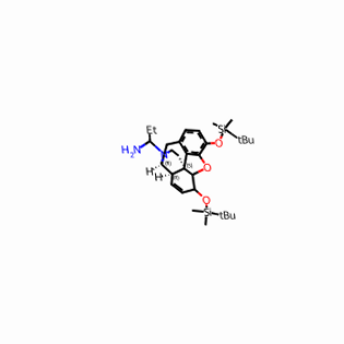 CCC(N)N1CC[C@]23c4c5ccc(O[Si](C)(C)C(C)(C)C)c4OC2C(O[Si](C)(C)C(C)(C)C)C=C[C@H]3[C@H]1C5